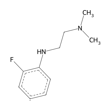 CN(C)CCNc1cc[c]cc1F